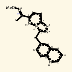 CO/N=C(\C)c1ccc2nnc(Cc3ccc4ncccc4c3)n2n1